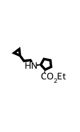 CCOC(=O)[C@H]1CCC[C@@H]1NCCC1CC1